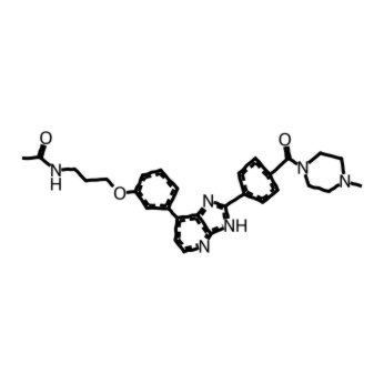 CC(=O)NCCCOc1cccc(-c2ccnc3[nH]c(-c4ccc(C(=O)N5CCN(C)CC5)cc4)nc23)c1